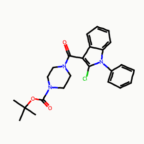 CC(C)(C)OC(=O)N1CCN(C(=O)c2c(Cl)n(-c3ccccc3)c3ccccc23)CC1